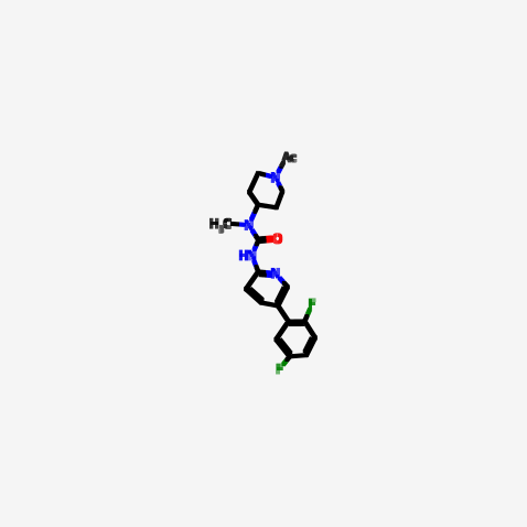 CC(=O)N1CCC(N(C)C(=O)Nc2ccc(-c3cc(F)ccc3F)cn2)CC1